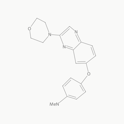 CNc1ccc(Oc2ccc3ncc(N4CCOCC4)nc3c2)cc1